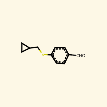 O=Cc1ccc(SCC2CC2)cc1